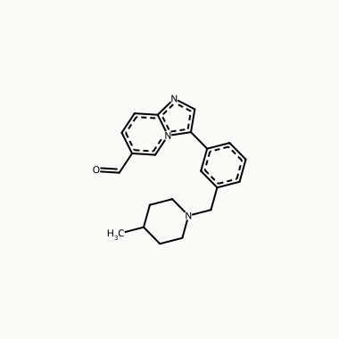 CC1CCN(Cc2cccc(-c3cnc4ccc(C=O)cn34)c2)CC1